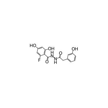 O=C(Cc1cccc(O)c1)NNC(=O)c1c(O)cc(O)cc1F